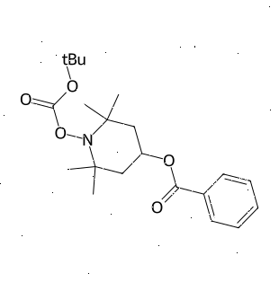 CC(C)(C)OC(=O)ON1C(C)(C)CC(OC(=O)c2ccccc2)CC1(C)C